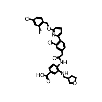 O=C(Cc1ccc(-c2cccc(OCc3ccc(Cl)cc3F)n2)c(Cl)c1)Nc1ccc(C(=O)O)cc1NCC1CCOC1